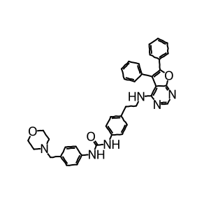 O=C(Nc1ccc(CCNc2ncnc3oc(-c4ccccc4)c(-c4ccccc4)c23)cc1)Nc1ccc(CN2CCOCC2)cc1